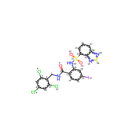 O=C(NCc1c(Cl)cc(Cl)cc1Cl)c1ccc(I)cc1NS(=O)(=O)c1cccc2nsnc12